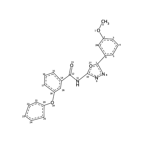 COc1cccc(-c2nnc(NC(=O)c3cccc(Oc4ccccc4)c3)o2)c1